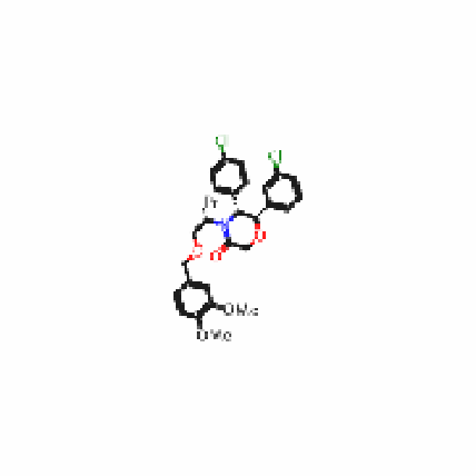 COc1ccc(COC[C@H](C(C)C)N2C(=O)CO[C@H](c3cccc(Cl)c3)[C@H]2c2ccc(Cl)cc2)cc1OC